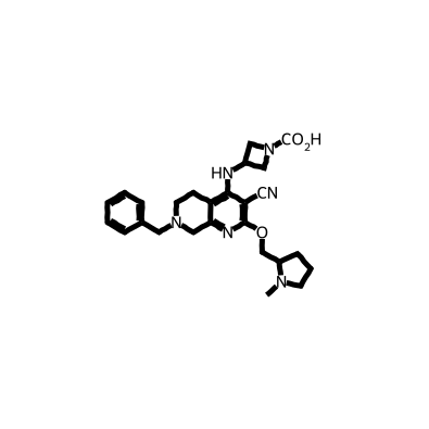 CN1CCCC1COc1nc2c(c(NC3CN(C(=O)O)C3)c1C#N)CCN(Cc1ccccc1)C2